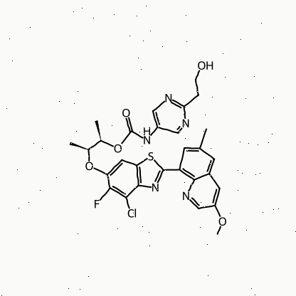 COc1cnc2c(-c3nc4c(Cl)c(F)c(O[C@@H](C)[C@@H](C)OC(=O)Nc5cnc(CCO)nc5)cc4s3)cc(C)cc2c1